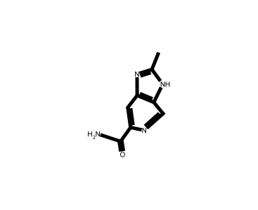 Cc1nc2cc(C(N)=O)ncc2[nH]1